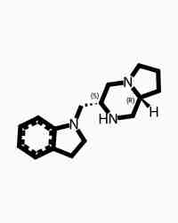 c1ccc2c(c1)CCN2C[C@@H]1CN2CCC[C@@H]2CN1